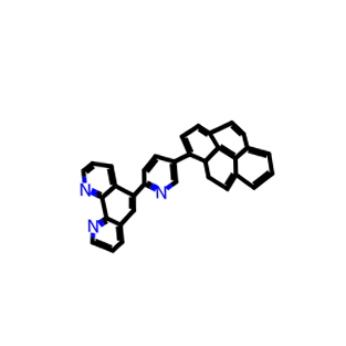 C1=C(c2ccc(-c3cc4cccnc4c4ncccc34)nc2)C2CC=c3cccc4ccc(c2c34)=C1